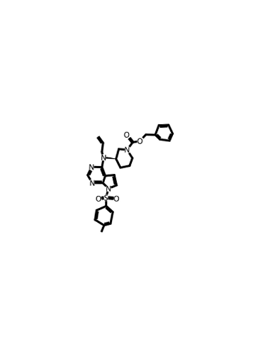 C=CCN(c1ncnc2c1ccn2S(=O)(=O)c1ccc(C)cc1)[C@@H]1CCCN(C(=O)OCc2ccccc2)C1